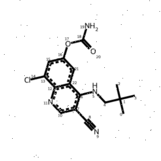 CC(C)(C)CNc1c(C#N)cnc2c(Cl)cc(OC(N)=O)cc12